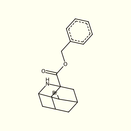 O=C(OCc1ccccc1)C12CC3CC(C1)C(Br)C(C3)N2